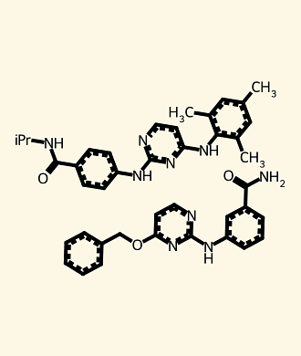 Cc1cc(C)c(Nc2ccnc(Nc3ccc(C(=O)NC(C)C)cc3)n2)c(C)c1.NC(=O)c1cccc(Nc2nccc(OCc3ccccc3)n2)c1